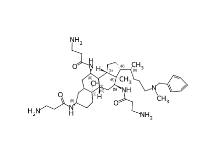 C[C@H](CCCN(C)Cc1ccccc1)[C@H]1CC[C@H]2C3[C@H](NC(=O)CCN)CC4C[C@H](NC(=O)CCN)CC[C@]4(C)[C@H]3C[C@H](NC(=O)CCN)[C@]12C